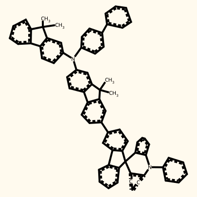 CC1(C)c2ccccc2-c2ccc(N(c3ccc(-c4ccccc4)cc3)c3ccc4c(c3)C(C)(C)c3cc(-c5ccc6c(c5)-c5ccccc5C65c6ccccc6N(c6ccccc6)c6ccccc65)ccc3-4)cc21